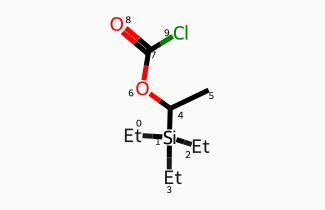 CC[Si](CC)(CC)C(C)OC(=O)Cl